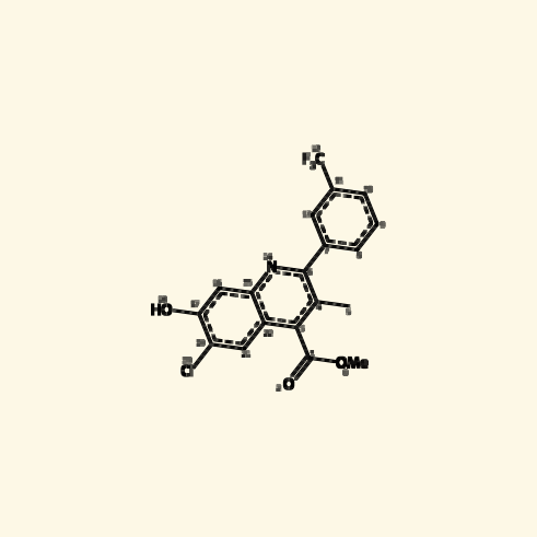 COC(=O)c1c(C)c(-c2cccc(C(F)(F)F)c2)nc2cc(O)c(Cl)cc12